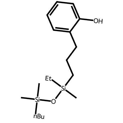 CCCC[Si](C)(C)O[Si](C)(CC)CCCc1ccccc1O